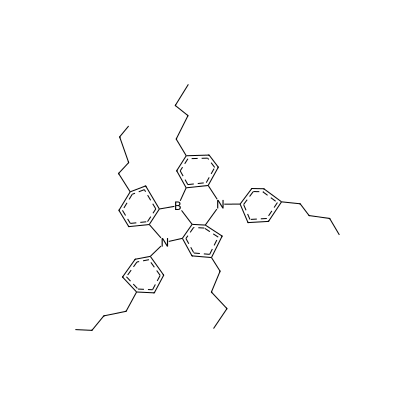 CCCCc1ccc(N2c3ccc(CCCC)cc3B3c4cc(CCCC)ccc4N(c4ccc(CCCC)cc4)c4cc(CCCC)cc2c43)cc1